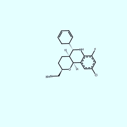 CNC[C@H]1CC[C@@H]2[C@H](O1)c1cc(Cl)cc(F)c1N[C@H]2C1C=CC=CC1